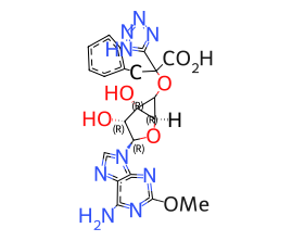 COc1nc(N)c2ncn([C@@H]3O[C@@H]4C(OC(Cc5ccccc5)(C(=O)O)c5nnn[nH]5)[C@]4(O)[C@H]3O)c2n1